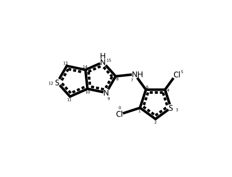 Clc1csc(Cl)c1Nc1nc2cscc2[nH]1